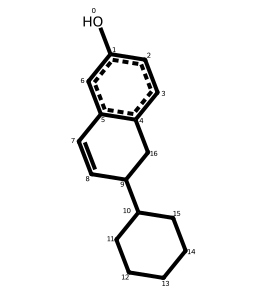 Oc1ccc2c(c1)C=CC(C1CCCCC1)C2